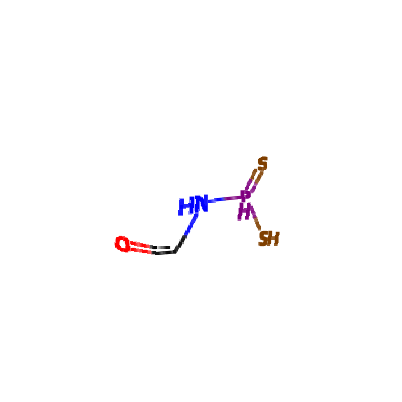 O=CN[PH](=S)S